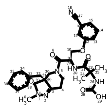 CN1N=C2CCN(C(=O)[C@@H](COc3cccc(C#N)c3)NC(=O)C(C)(C)NC(=O)O)C[C@@]2(Cc2ccccc2)C1=O